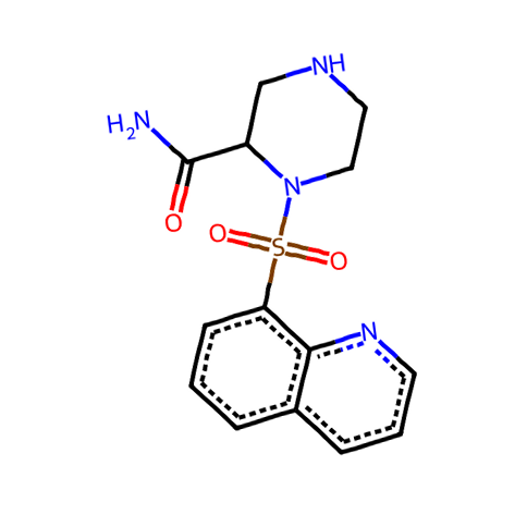 NC(=O)C1CNCCN1S(=O)(=O)c1cccc2cccnc12